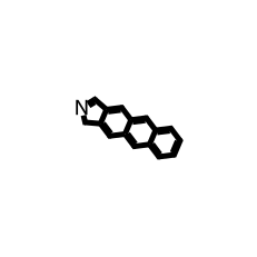 C1=NCc2cc3cc4ccccc4cc3cc21